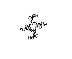 CCOC(=O)CN1CCN(CCC(=O)O)CCN(CC(=O)OCC)CCN(CCC(=O)O)CC1